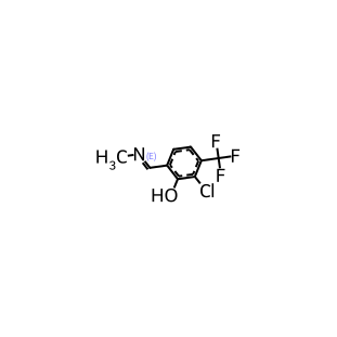 C/N=C/c1ccc(C(F)(F)F)c(Cl)c1O